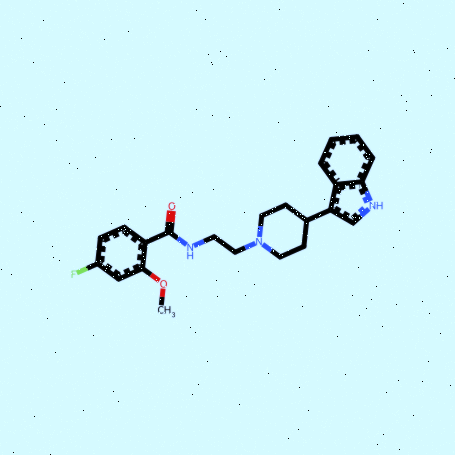 COc1cc(F)ccc1C(=O)NCCN1CCC(c2c[nH]c3ccccc23)CC1